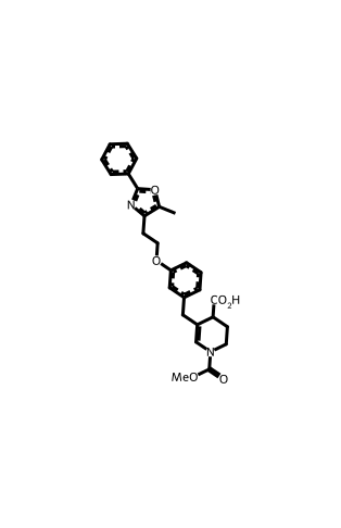 COC(=O)N1C=C(Cc2cccc(OCCc3nc(-c4ccccc4)oc3C)c2)C(C(=O)O)CC1